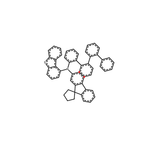 c1ccc(-c2ccccc2-c2ccccc2-c2ccccc2N(c2ccc3c(c2)C2(CCCC2)c2ccccc2-3)c2cccc3sc4ccccc4c23)cc1